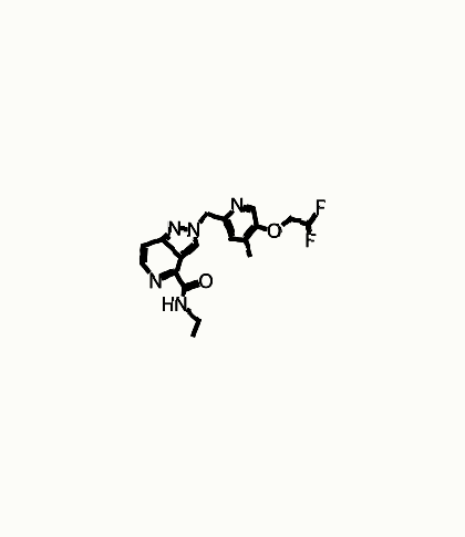 CCNC(=O)c1nccc2nn(Cc3cc(C)c(OCC(F)F)cn3)cc12